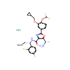 CC(=O)OC[C@H](NC(=O)c1nc(-c2ccc(OC(F)F)c(OCC3CC3)c2)oc1[C@H](C)N)c1ccc(F)cc1F.Cl